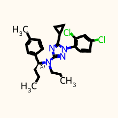 CCC[C@@H](c1ccc(C)cc1)N(CCC)c1nc(C2CC2)n(-c2ccc(Cl)cc2Cl)n1